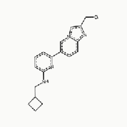 ClCc1cn2cc(-c3cccc(NCC4CCC4)n3)ccc2n1